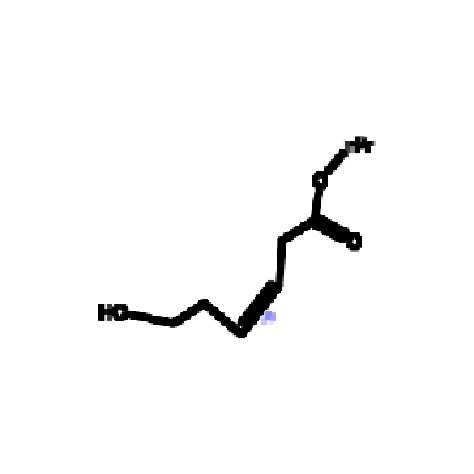 CCCOC(=O)C/C=C\CCO